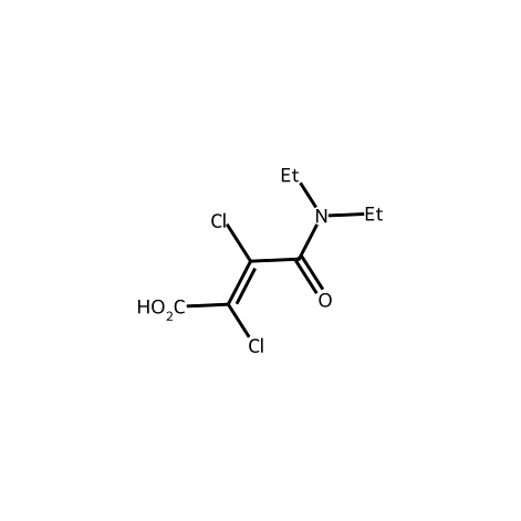 CCN(CC)C(=O)C(Cl)=C(Cl)C(=O)O